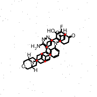 Nc1nnc(-c2cccc(F)c2O)cc1-c1cc(C2C[C@H]3COC[C@@H](C2)N3C2CCC(c3cccc4c3OCCN4C3CCC(=O)NC3=O)CC2)ccn1